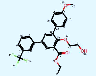 CCOC(=O)c1cc(-c2cccc(C(F)(F)F)c2)cc(-c2ccc(OC)cc2)c1OCCO